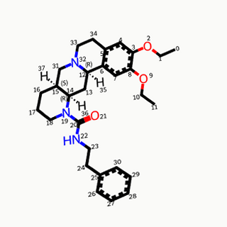 CCOc1cc2c(cc1OCC)[C@H]1C[C@@H]3[C@@H](CCCN3C(=O)NCCc3ccccc3)CN1CC2